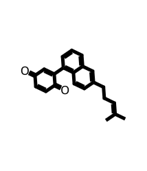 CC(C)=CCCc1ccc2c(C3=CC(=O)C=CC3=O)cccc2c1